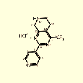 Cl.FC(F)(F)c1nc(-c2ccncc2)nc2c1CCNC2